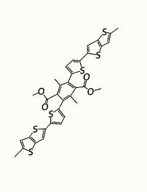 COC(=O)c1c(C)c(-c2ccc(-c3cc4sc(C)cc4s3)s2)c(C(=O)OC)c(C)c1-c1ccc(-c2cc3sc(C)cc3s2)s1